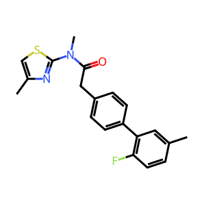 Cc1ccc(F)c(-c2ccc(CC(=O)N(C)c3nc(C)cs3)cc2)c1